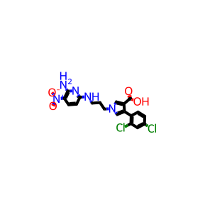 Nc1nc(NCCCn2cc(C(=O)O)c(-c3ccc(Cl)cc3Cl)c2)ccc1[N+](=O)[O-]